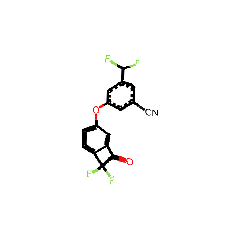 N#Cc1cc(OC2=C=C=C3C(=C2)C(=O)C3(F)F)cc(C(F)F)c1